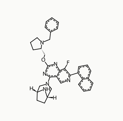 Fc1c(-c2cccc3ccccc23)ncc2c(N3C[C@H]4CC[C@@H](C3)N4)nc(OC[C@@H]3CCCN3Cc3ccccc3)nc12